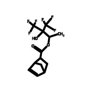 CC(OC(=O)C1CC2C=CC1C2)C(O)(C(F)(F)F)C(F)(F)F